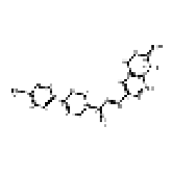 Nc1ccc(C2=CCN(C(=O)C=Cc3cnc4c(c3)CCC(=O)N4)CC2)cc1